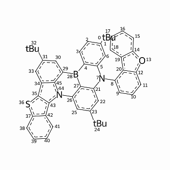 CC(C)(C)c1ccc2c(c1)N(c1cccc3oc4ccccc4c13)c1cc(C(C)(C)C)cc3c1B2c1cc(C(C)(C)C)cc2c4sc5ccccc5c4n-3c12